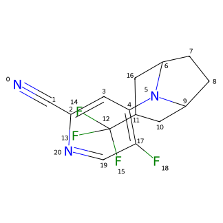 N#Cc1cc(N2C3CCC2CC(C(F)(F)F)C3)c(F)cn1